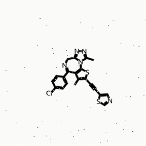 Cc1c(C#Cc2cncs2)sc2c1C(c1ccc(Cl)cc1)=NCc1nnc(C)n1-2